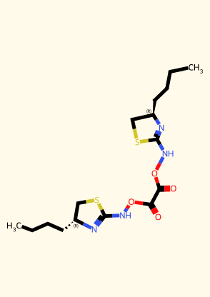 CCCC[C@@H]1CSC(NOC(=O)C(=O)ONC2=N[C@H](CCCC)CS2)=N1